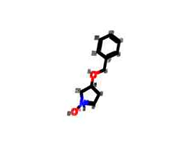 [O-][N+]1=CCC(OCc2ccccc2)C1